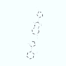 Cc1cc(-c2nc3ccn(Cc4cc(-c5cc(F)ccc5F)no4)cc-3n2)cs1